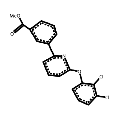 COC(=O)c1cccc(-c2cccc(Oc3cccc(Cl)c3Cl)n2)c1